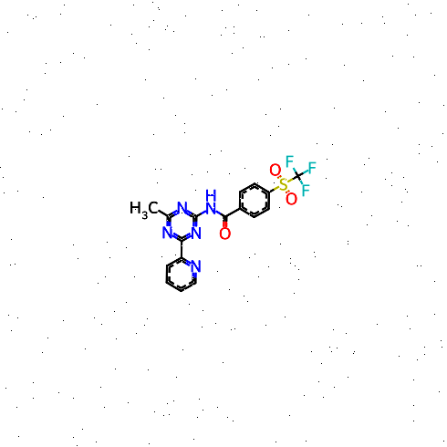 Cc1nc(NC(=O)c2ccc(S(=O)(=O)C(F)(F)F)cc2)nc(-c2ccccn2)n1